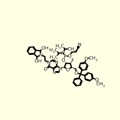 COc1ccc(C(OC[C@H]2O[C@@H](n3cnc4c(=O)n(CCN5C(O)c6ccccc6C5O)cnc43)[C@H](OP(OCCC#N)N(C(C)C)C(C)C)[C@@H]2F)(c2ccccc2)c2ccc(OC)cc2)cc1